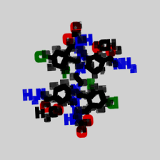 COc1c(C(N)=O)ccc2c1nc(-c1c(F)cc(Cl)cc1-c1n[nH]c(=O)o1)n2CCn1c(-c2c(F)cc(Cl)cc2-c2n[nH]c(=O)o2)nc2c(OC)c(C(N)=O)ccc21